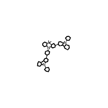 CC1(C)c2ccccc2N(c2ccc(-c3ccc4c(c3)c3ccccc3n4-c3ccccc3)cc2)c2ccc(-c3ccc4c(c3)c3ccccc3n4-c3ccccc3)cc21